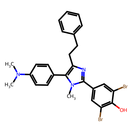 CN(C)c1ccc(-c2c(CCc3ccccc3)nc(-c3cc(Br)c(O)c(Br)c3)n2C)cc1